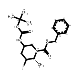 C[C@@H]1C(F)CC(NC(=O)OC(C)(C)C)CN1C(=O)OCc1ccccc1